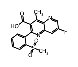 Cc1c(C(=O)O)c(-c2ccccc2S(C)(=O)=O)nc2cc(F)cnc12